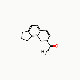 CC(=O)c1ccc2ccc3c(c2c1)CCC3